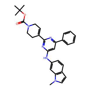 Cn1ccc2ccc(Nc3cc(-c4ccccc4)nc(C4=CCN(C(=O)OC(C)(C)C)CC4)n3)cc21